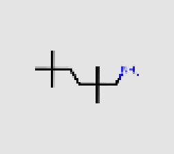 CC(C)(C)CCC(C)(C)CN